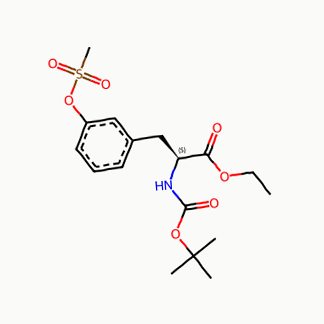 CCOC(=O)[C@H](Cc1cccc(OS(C)(=O)=O)c1)NC(=O)OC(C)(C)C